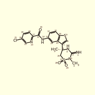 CN1C(=N)N[C@](C)(c2csc3ccc(NC(=O)c4ccc(Cl)cn4)cc23)CS1(=O)=O